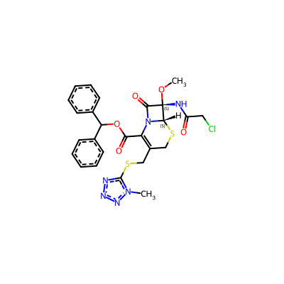 CO[C@@]1(NC(=O)CCl)C(=O)N2C(C(=O)OC(c3ccccc3)c3ccccc3)=C(CSc3nnnn3C)CS[C@H]21